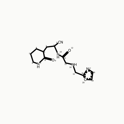 N#CC(CC1CCCNC1=O)NC(=O)CNCc1ncco1